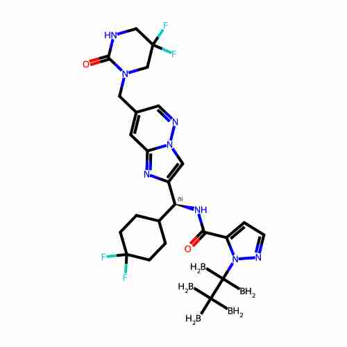 BC(B)(B)C(B)(B)n1nccc1C(=O)N[C@H](c1cn2ncc(CN3CC(F)(F)CNC3=O)cc2n1)C1CCC(F)(F)CC1